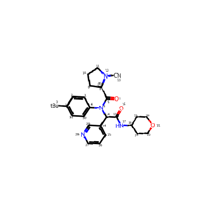 CC(C)(C)c1ccc(N(C(=O)[C@H]2CCCN2C#N)C(C(=O)NC2CCOCC2)c2cccnc2)cc1